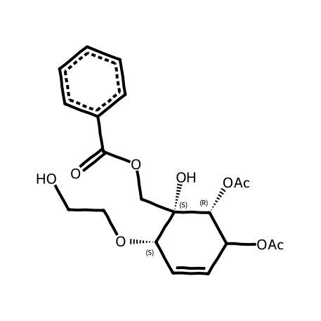 CC(=O)OC1C=C[C@H](OCCO)[C@@](O)(COC(=O)c2ccccc2)[C@@H]1OC(C)=O